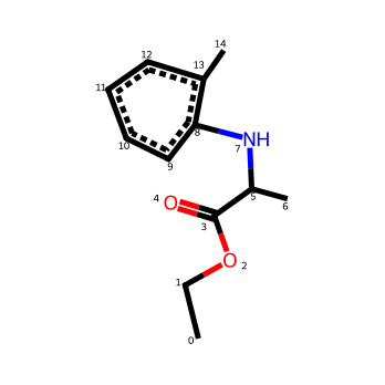 CCOC(=O)C(C)Nc1ccccc1C